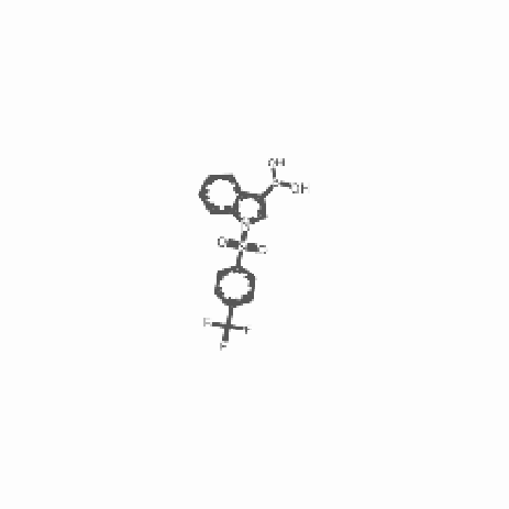 O=S(=O)(c1ccc(C(F)(F)F)cc1)n1cc(B(O)O)c2ccccc21